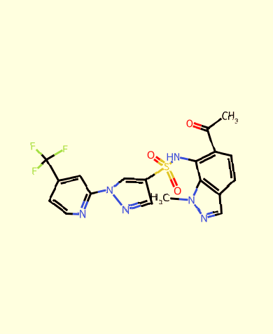 CC(=O)c1ccc2cnn(C)c2c1NS(=O)(=O)c1cnn(-c2cc(C(F)(F)F)ccn2)c1